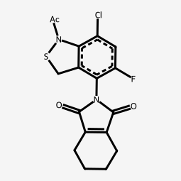 CC(=O)N1SCc2c1c(Cl)cc(F)c2N1C(=O)C2=C(CCCC2)C1=O